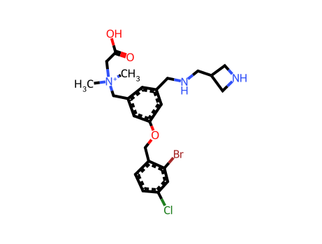 C[N+](C)(CC(=O)O)Cc1cc(CNCC2CNC2)cc(OCc2ccc(Cl)cc2Br)c1